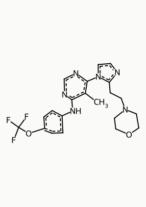 Cc1c(Nc2ccc(OC(F)(F)F)cc2)ncnc1-n1ccnc1CCN1CCOCC1